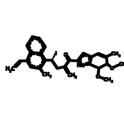 C=Cc1cc(C)c([C@H](I)CC(=C)C(=O)c2cc3c([nH]2)C(OC)C(OC)C(C)=C3)c2ccccc12